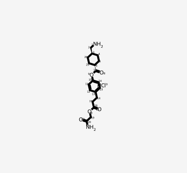 Cl.NC[C@H]1CC[C@H](C(=O)Oc2ccc(CCC(=O)OCC(N)=O)cc2)CC1